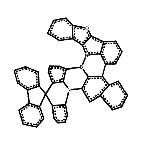 c1ccc2c(c1)-c1ccccc1C21c2ccccc2N2c3cc4ccccc4c4c3B(c3cccc1c32)n1c2c-4cccc2c2oc3ccccc3c21